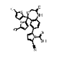 N#Cc1ccc(-c2ccc3c(c2)C(c2ccc(Cl)s2)(c2ccc(Cl)s2)OCC(=O)N3)n1C(=O)O